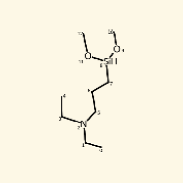 CCN(CC)CCC[SiH](OC)OC